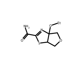 CCOC12COCC1SC(C(N)=O)=N2